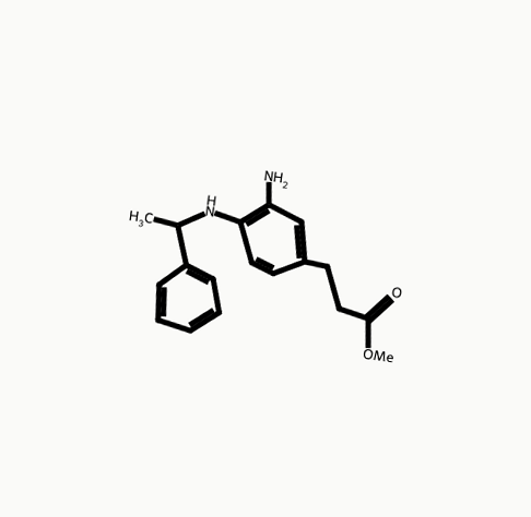 COC(=O)CCc1ccc(NC(C)c2ccccc2)c(N)c1